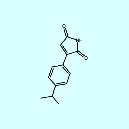 CC(C)c1ccc(C2=CC(=O)NC2=O)cc1